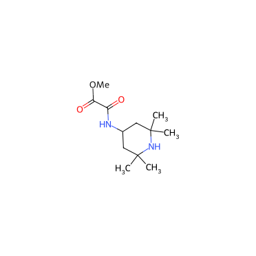 COC(=O)C(=O)NC1CC(C)(C)NC(C)(C)C1